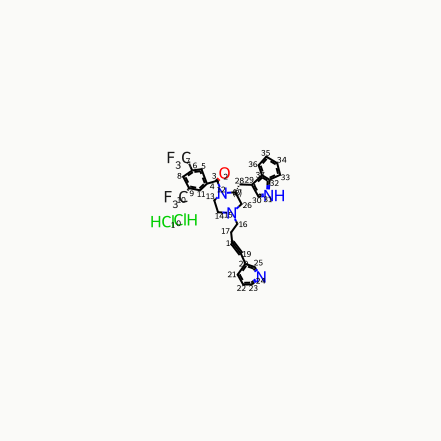 Cl.Cl.O=C(c1cc(C(F)(F)F)cc(C(F)(F)F)c1)N1CCN(CCC#Cc2cccnc2)C[C@H]1Cc1c[nH]c2ccccc12